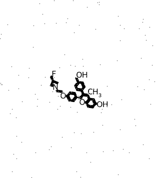 CC1=C(c2ccc(CO)cc2)[C@H](c2ccc(OCCN3CC(CF)C3)cc2)Oc2ccc(O)cc21